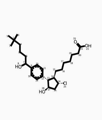 CC(C)(C)CCCC(O)c1ccc([C@@H]2[C@@H](CCCCCCC(=O)O)[C@H](Cl)C[C@H]2O)cc1